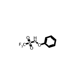 O=S(=O)(NOc1ccccc1)C(F)(F)F